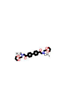 CN(CC(=O)c1ccc(-c2ccc(C(=O)CN(C)CC3OCCCO3)cc2)cc1)CC1OCCCO1